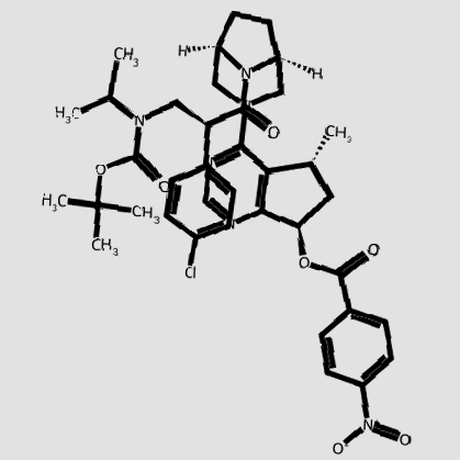 CC(C)N(C[C@@H](C(=O)N1[C@@H]2CC[C@H]1CN(c1ncnc3c1[C@H](C)C[C@H]3OC(=O)c1ccc([N+](=O)[O-])cc1)C2)c1ccc(Cl)cc1)C(=O)OC(C)(C)C